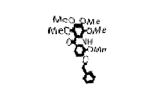 COc1c(OC)c(OC)c2c(=O)c3ccc(OCc4ccccc4)c(OC)c3[nH]c2c1OC